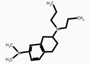 CCCN(CCC)C1CCc2ccc(N(C)C)cc2C1